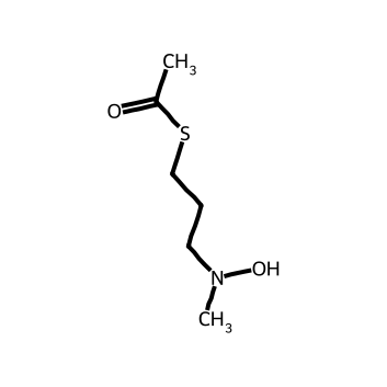 CC(=O)SCCCN(C)O